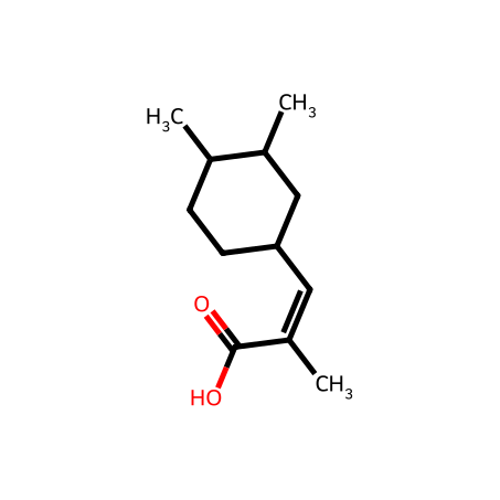 CC(=CC1CCC(C)C(C)C1)C(=O)O